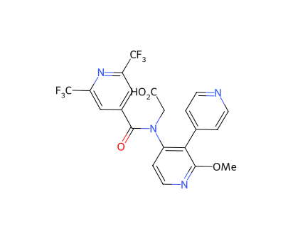 COc1nccc(N(CC(=O)O)C(=O)c2cc(C(F)(F)F)nc(C(F)(F)F)c2)c1-c1ccncc1